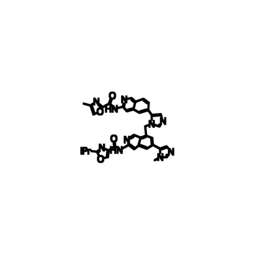 Cc1coc(C(=O)Nc2cc3cc(-c4cncn4Cc4cc(-c5cncn5C)cc5cc(NC(=O)c6coc(C(C)C)n6)ncc45)ccc3cn2)n1